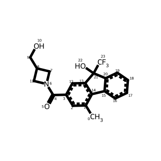 Cc1cc(C(=O)N2CC(CO)C2)cc2c1-c1ccccc1C2(O)C(F)(F)F